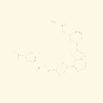 C#CC(=O)Nc1cccc(-c2nc3c(-c4ccc(CNC(=O)c5nc(C(C)(C)C)no5)c(F)c4)ccnc3[nH]2)c1